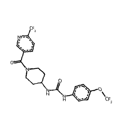 O=C(Nc1ccc(OC(F)(F)F)cc1)NC1CCN(C(=O)c2ccc(C(F)(F)F)nc2)CC1